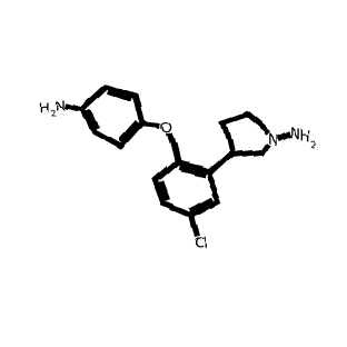 Nc1ccc(Oc2ccc(Cl)cc2C2CCN(N)C2)cc1